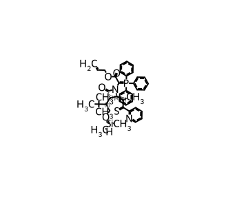 C=CCOC(=O)C(N1C(=O)[C@@H]([C@@H](CO[SiH](C)C)C(C)(C)C)[C@@H]1[C@@H](C)C(=S)c1ccccn1)=P(c1ccccc1)(c1ccccc1)c1ccccc1